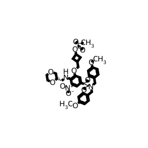 COc1ccc(CN(Cc2ccc(OC)cc2)S(=O)(=O)c2cc(OCC3CC(OS(C)(=O)=O)C3)c(NC[C@H]3COCCO3)c([N+](=O)[O-])c2)cc1